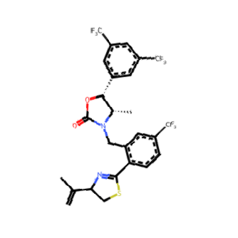 C=C(C)C1CSC(c2ccc(C(F)(F)F)cc2CN2C(=O)O[C@H](c3cc(C(F)(F)F)cc(C(F)(F)F)c3)[C@@H]2C)=N1